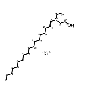 CCCCCCCCCCCCCCCCC=CN(CC)CCO.Cl